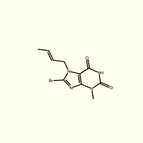 C/C=C/Cn1c(Br)nc2c1c(=O)[nH]c(=O)n2C